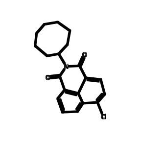 O=C1c2cccc3c(Cl)ccc(c23)C(=O)N1C1CCCCCCC1